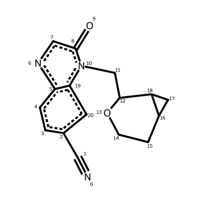 N#Cc1ccc2ncc(=O)n(CC3OCCC4CC43)c2c1